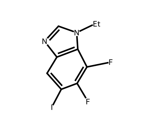 CCn1cnc2cc(I)c(F)c(F)c21